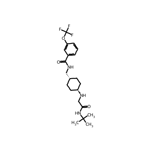 CC(C)(C)NC(=O)CN[C@H]1CC[C@H](CNC(=O)c2cccc(OC(F)(F)F)c2)CC1